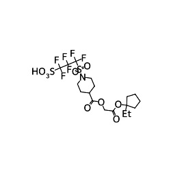 CCC1(OC(=O)COC(=O)C2CCN(S(=O)(=O)C(F)(F)C(F)(F)C(F)(F)S(=O)(=O)O)CC2)CCCC1